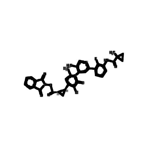 Cc1cnc(-c2cccc(NC(=O)C3(C)CC3)c2F)cc1-n1c(C)cc([C@H]2C[C@@H]2C(=O)ON2C(=O)c3ccccc3C2=O)c(Cl)c1=O